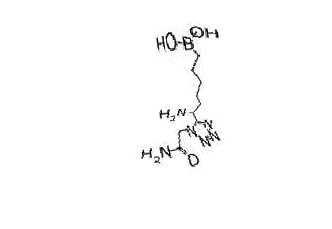 NC(=O)Cn1nnnc1C(N)CCCCCB(O)O